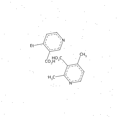 CCc1ccncc1C(=O)O.Cc1ccnc(C)c1C(=O)O